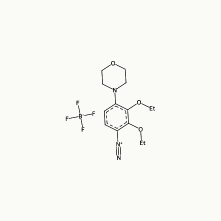 CCOc1c([N+]#N)ccc(N2CCOCC2)c1OCC.F[B-](F)(F)F